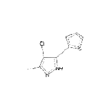 Cc1n[nH]c(-c2cccs2)c1Cl